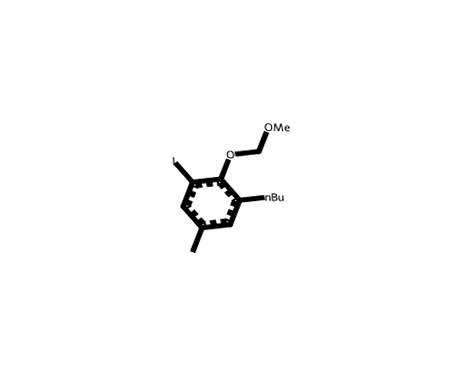 CCCCc1cc(C)cc(I)c1OCOC